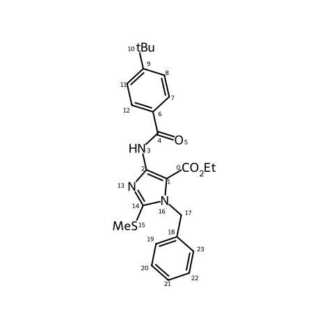 CCOC(=O)c1c(NC(=O)c2ccc(C(C)(C)C)cc2)nc(SC)n1Cc1ccccc1